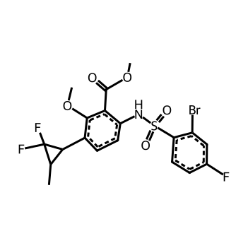 COC(=O)c1c(NS(=O)(=O)c2ccc(F)cc2Br)ccc(C2C(C)C2(F)F)c1OC